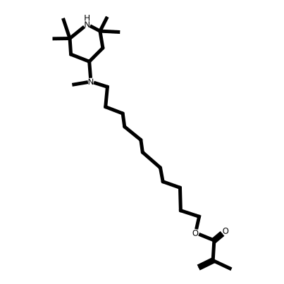 C=C(C)C(=O)OCCCCCCCCCCCN(C)C1CC(C)(C)NC(C)(C)C1